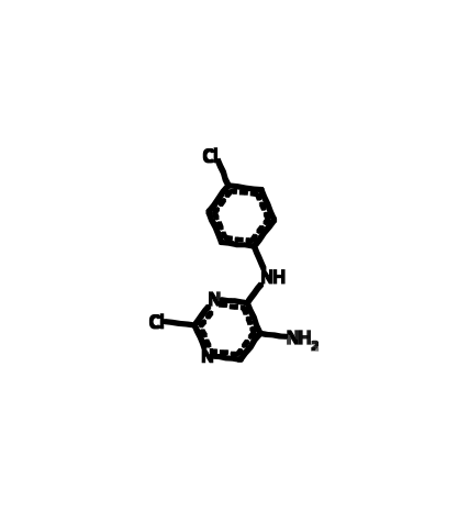 Nc1cnc(Cl)nc1Nc1ccc(Cl)cc1